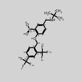 CC(C)(C)NCc1ccc(OCc2ccc(C(F)(F)F)cc2C(F)(F)F)c([N+](=O)[O-])c1